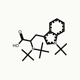 CC(C)(C)N(C(Cc1cn(C(C)(C)C)c2ccccc12)C(=O)O)C(C)(C)C